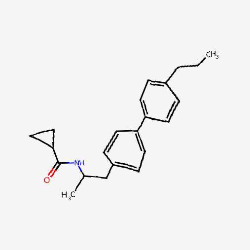 CCCc1ccc(-c2ccc(CC(C)NC(=O)C3CC3)cc2)cc1